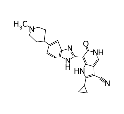 CN1CCC(c2ccc3[nH]c(-c4c(=O)[nH]cc5c(C#N)c(C6CC6)[nH]c45)nc3c2)CC1